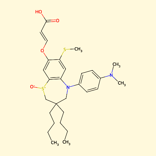 CCCCC1(CCCC)CN(c2ccc(N(C)C)cc2)c2cc(SC)c(O/C=C/C(=O)O)cc2[S+]([O-])C1